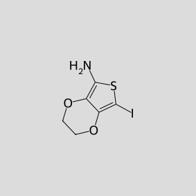 Nc1sc(I)c2c1OCCO2